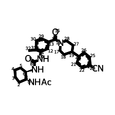 CC(=O)N[C@@H]1CCCC[C@H]1NC(=O)Nc1cc(C(=O)N2CCC(c3ccc(C#N)cc3)CC2)ccc1C